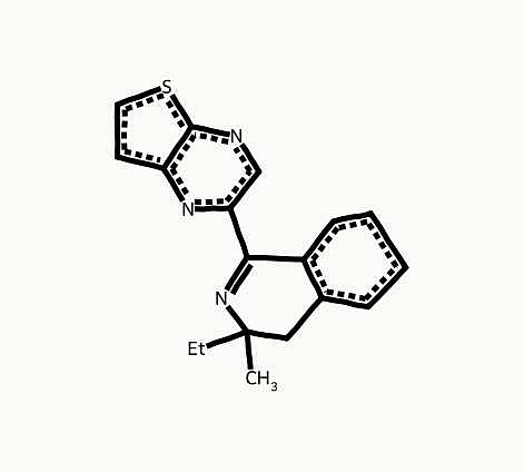 CCC1(C)Cc2ccccc2C(c2cnc3sccc3n2)=N1